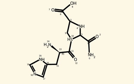 NC(=O)C1NC(C(=O)O)C[SH]1C(=O)[C@H](N)Cc1cnc[nH]1